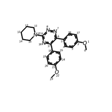 COc1ccc(-c2nnc(N3CCCCC3)nc2-c2ccc(OC)cc2)cc1